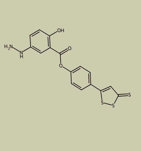 NNc1ccc(O)c(C(=O)Oc2ccc(-c3cc(=S)ss3)cc2)c1